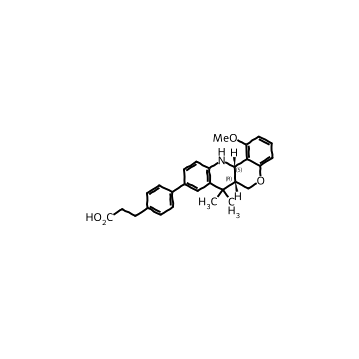 COc1cccc2c1[C@H]1Nc3ccc(-c4ccc(CCC(=O)O)cc4)cc3C(C)(C)[C@H]1CO2